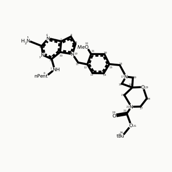 CCCCCNc1nc(N)nc2ccn(Cc3ccc(CN4CC5(C4)CN(C(=O)OC(C)(C)C)CCO5)cc3OC)c12